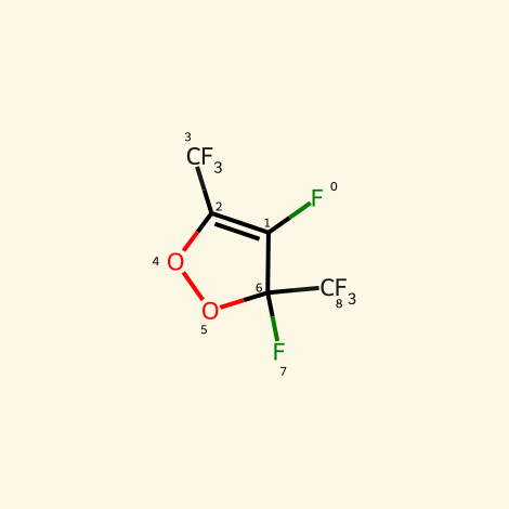 FC1=C(C(F)(F)F)OOC1(F)C(F)(F)F